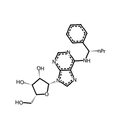 CCC[C@H](Nc1ncnc2c1ncn2[C@@H]1O[C@H](CO)[C@H](O)[C@@H]1O)c1ccccc1